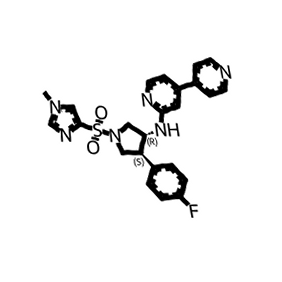 Cn1cnc(S(=O)(=O)N2C[C@H](Nc3cc(-c4ccncc4)ccn3)[C@@H](c3ccc(F)cc3)C2)c1